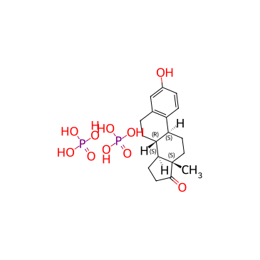 C[C@]12CC[C@@H]3c4ccc(O)cc4CC[C@H]3[C@@H]1CCC2=O.O=P(O)(O)O.O=P(O)(O)O